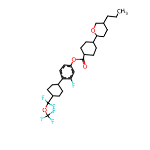 CCCC1CCC(C2CCC(C(=O)Oc3ccc(C4CCC(C(F)(F)OC(F)(F)F)CC4)c(F)c3)CC2)OC1